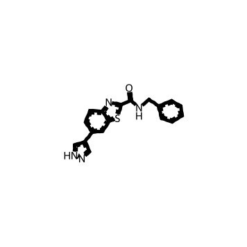 O=C(NCc1ccccc1)c1nc2ccc(-c3cn[nH]c3)cc2s1